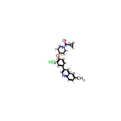 Cc1ccc2ncc(-c3ccc(OC4CCN(C(=O)C5CC5)CC4)cc3)cc2c1.Cl